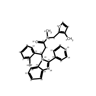 Cc1ccoc1CN(C)C(=O)CC(c1ccccc1Br)n1c(-c2ccncc2)nc2ccccc21